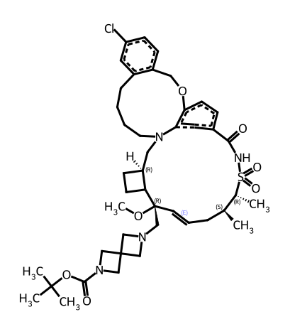 CO[C@@]1(CN2CC3(C2)CN(C(=O)OC(C)(C)C)C3)/C=C/C[C@H](C)[C@@H](C)S(=O)(=O)NC(=O)c2ccc3c(c2)N(CCCCc2cc(Cl)ccc2CO3)C[C@@H]2CCC21